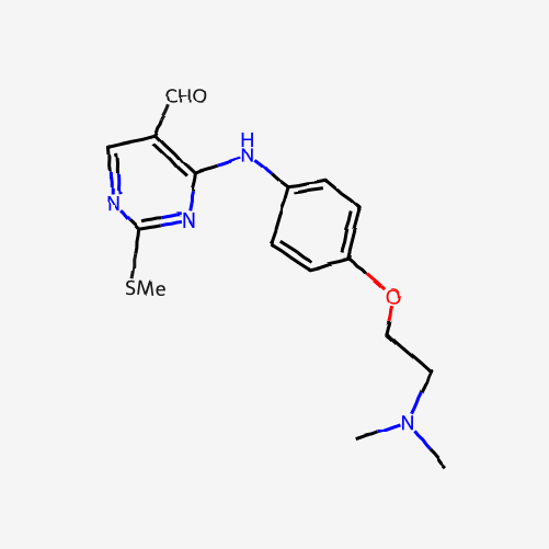 CSc1ncc(C=O)c(Nc2ccc(OCCN(C)C)cc2)n1